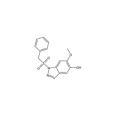 COc1cc2c(cnn2S(=O)(=O)Cc2ccccc2)cc1O